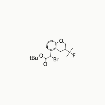 CC(C)(C)OC(=O)C(Br)c1cccc2c1CC(C(C)(C)F)CO2